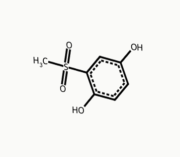 CS(=O)(=O)c1cc(O)ccc1O